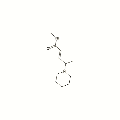 CNC(=O)C=CC(C)N1CCCCC1